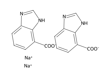 O=C([O-])c1cccc2nc[nH]c12.O=C([O-])c1cccc2nc[nH]c12.[Na+].[Na+]